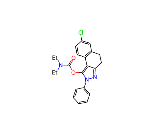 CCN(CC)C(=O)Oc1c2c(nn1-c1ccccc1)CCc1cc(Cl)ccc1-2